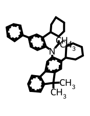 CC(C)N(c1ccc(-c2ccccc2)cc1C1CCCCC1)c1cc2c(cc1C1CCCCC1)C(C)(C)c1ccccc1-2